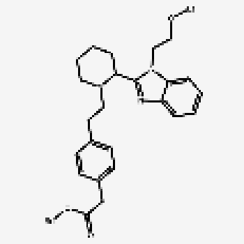 CCOCCn1c(C2CCCCN2CCc2ccc(CC(=O)OC(C)(C)C)cc2)nc2ccccc21